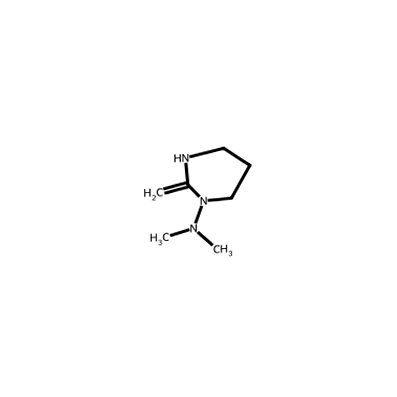 C=C1NCCCN1N(C)C